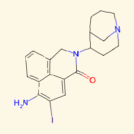 Nc1c(I)cc2c3c(cccc13)CN(C1CCN3CCCC1C3)C2=O